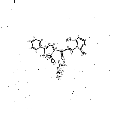 CC(C)c1cccc(C(C)C)c1N=CC(=O)c1ccc(-c2ccccc2)[nH]c1=O.[Br-].[Br-].[Br-].[Fe+3]